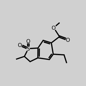 CCc1cc2c(cc1C(=O)OC)S(=O)(=O)C(C)C2